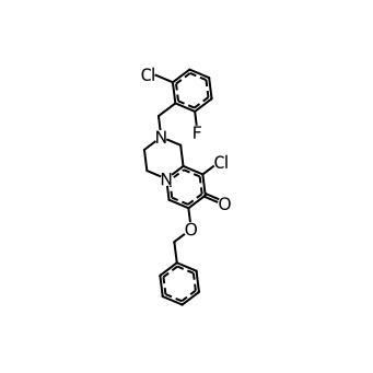 O=c1c(OCc2ccccc2)cn2c(c1Cl)CN(Cc1c(F)cccc1Cl)CC2